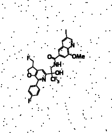 COc1cc(C(=O)NCC(O)(c2cc3c(c(-c4ccc(F)cc4)n2)OCC3CF)C(F)(F)F)cc2cc(I)cnc12